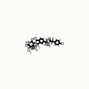 BC(B)(NC(=O)C(F)(F)c1ccc(Cl)cc1)c1ccc2c(c1)CN(C1C(=O)NC(=O)C(B)(B)C1(B)B)C2=O